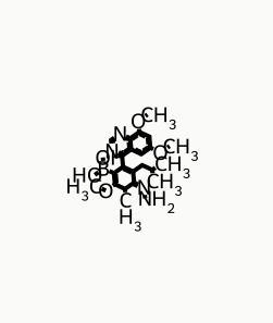 COC1=C(B(O)O)C(c2ncnc3c(OC)cc(OC)cc23)=C(CC(C)C)/C(=N/N)C1C